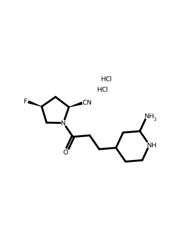 Cl.Cl.N#C[C@@H]1C[C@H](F)CN1C(=O)CCC1CCNC(N)C1